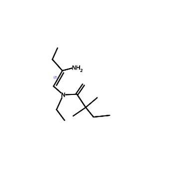 C=C(N(/C=C(\N)CC)CC)C(C)(C)CC